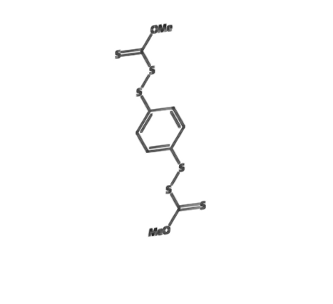 COC(=S)SSc1ccc(SSC(=S)OC)cc1